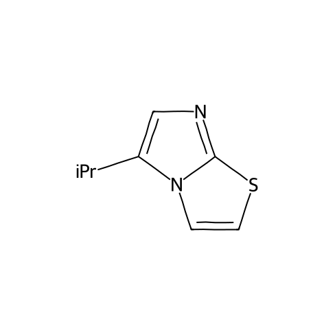 CC(C)c1cnc2sccn12